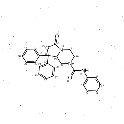 O=C(Nc1cccnc1)N1CCN2C(=O)OC(c3ccccc3)(c3ccccc3)C2C1